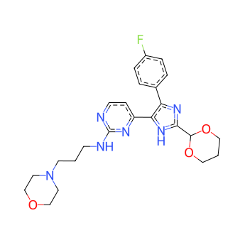 Fc1ccc(-c2nc(C3OCCCO3)[nH]c2-c2ccnc(NCCCN3CCOCC3)n2)cc1